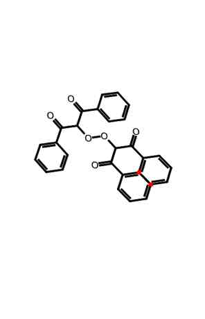 O=C(c1ccccc1)C(OOC(C(=O)c1ccccc1)C(=O)c1ccccc1)C(=O)c1ccccc1